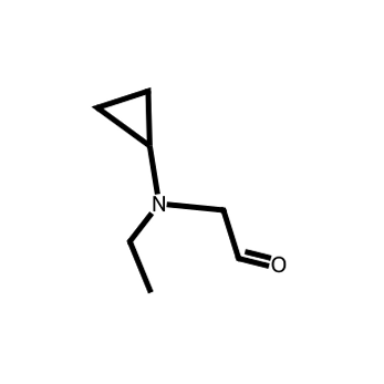 CCN(CC=O)C1CC1